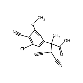 COc1cc(C(C)(C(=O)O)C(C#N)C#N)cc(Cl)c1C#N